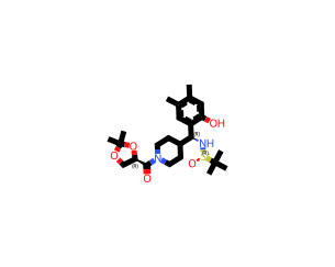 Cc1cc(O)c([C@H](N[S@@+]([O-])C(C)(C)C)C2CCN(C(=O)[C@H]3COC(C)(C)O3)CC2)cc1C